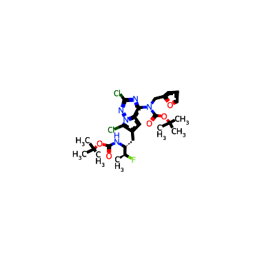 C[C@H](F)[C@@H](Cc1cc2c(N(Cc3ccco3)C(=O)OC(C)(C)C)nc(Cl)nn2c1Cl)NC(=O)OC(C)(C)C